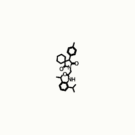 Cc1ccc(C2C(=O)N(CC(=O)Nc3c(C(C)C)cccc3C(C)C)C(=O)C23CCCCC3)cc1